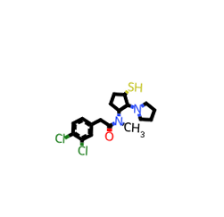 CN(C(=O)Cc1ccc(Cl)c(Cl)c1)C1CCC(S)C1N1CCCC1